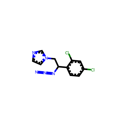 [N-]=[N+]=NC(Cn1ccnc1)c1ccc(Cl)cc1Cl